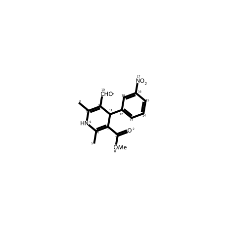 COC(=O)C1=C(C)NC(C)=C([C]=O)C1c1cccc([N+](=O)[O-])c1